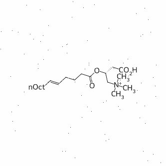 CCCCCCCCC=CCCCC(=O)O[C@H](CC(=O)O)C[N+](C)(C)C